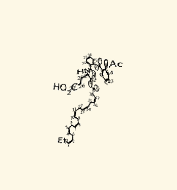 CC/C=C\C/C=C\C/C=C\C/C=C\C/C=C\C/C=C\CC(=O)OC(=O)C(CCC(=O)O)NC(=O)c1ccccc1OC(=O)c1ccccc1OC(C)=O